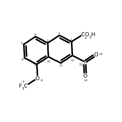 O=C(O)c1cc2cccc(OC(F)(F)F)c2cc1I(=O)=O